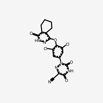 N#Cc1nn(-c2cc(Cl)c(Oc3n[nH]c(=O)c4c3CCCC4)c(Cl)c2)c(=O)[nH]c1=O